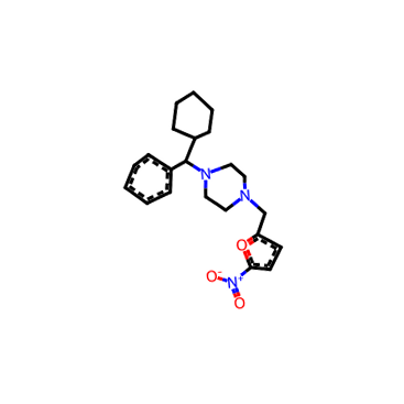 O=[N+]([O-])c1ccc(CN2CCN(C(c3ccccc3)C3CCCCC3)CC2)o1